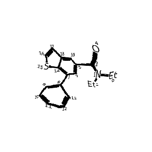 CCN(CC)C(=O)c1cc(-c2ccccc2)c2sccc2c1